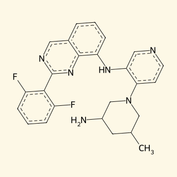 CC1CC(N)CN(c2ccncc2Nc2cccc3cnc(-c4c(F)cccc4F)nc23)C1